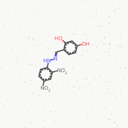 O=[N+]([O-])c1ccc(N/N=C/c2ccc(O)cc2O)c([N+](=O)[O-])c1